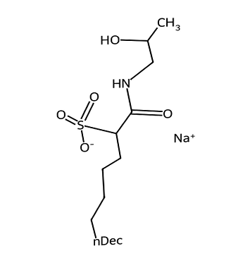 CCCCCCCCCCCCCCC(C(=O)NCC(C)O)S(=O)(=O)[O-].[Na+]